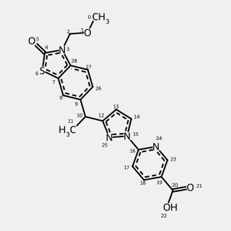 COCn1c(=O)sc2cc(C(C)c3ccn(-c4ccc(C(=O)O)cn4)n3)ccc21